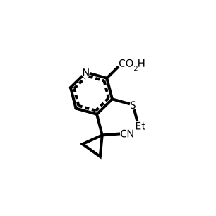 CCSc1c(C2(C#N)CC2)ccnc1C(=O)O